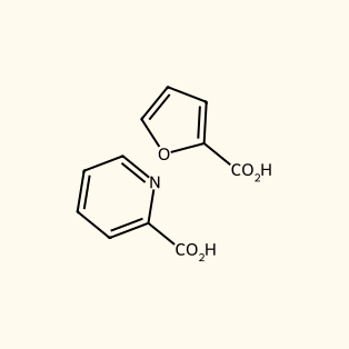 O=C(O)c1ccccn1.O=C(O)c1ccco1